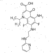 CC(C)n1cc(C(=O)O)c(=O)c2c(N)c(F)c(NCCNc3ccccn3)c(F)c21